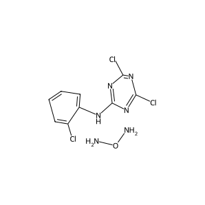 Clc1nc(Cl)nc(Nc2ccccc2Cl)n1.NON